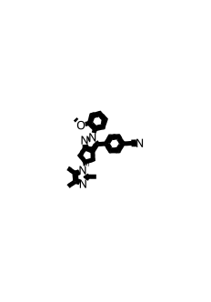 COc1ccccc1-n1nc2c(c1-c1ccc(C#N)cc1)C[C@H](n1c(C)nc(C)c1C)C2